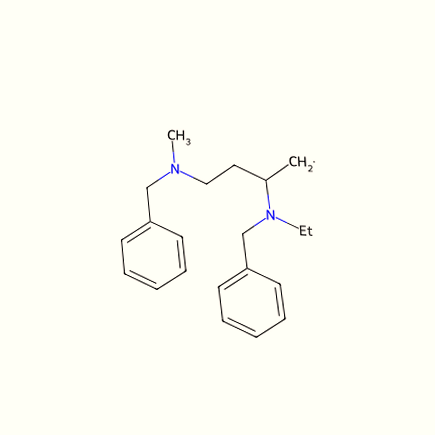 [CH2]C(CCN(C)Cc1ccccc1)N(CC)Cc1ccccc1